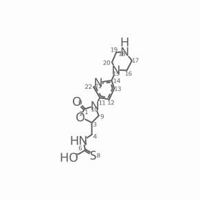 O=C1OC(CNC(O)=S)CN1c1ccc(N2CCNCC2)nc1